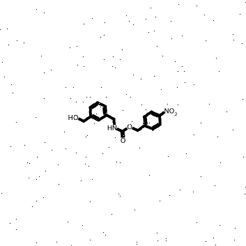 O=C(NCc1cccc(CO)c1)OCc1ccc([N+](=O)[O-])cc1